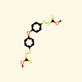 COC(=S)SSc1ccc(Oc2ccc(SSC(=S)OC)cc2)cc1